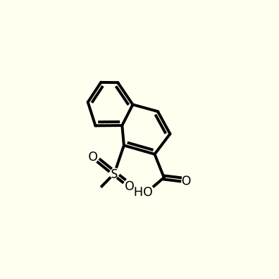 CS(=O)(=O)c1c(C(=O)O)ccc2ccccc12